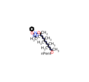 C=C(Oc1nc(C)nc(Oc2ccccc2)n1)/C(C)=C/C=C(C)/C(C)=C/C=C(C)/C(C)=C/C=C(\C)OCCCCC